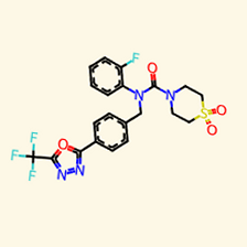 O=C(N1CCS(=O)(=O)CC1)N(Cc1ccc(-c2nnc(C(F)(F)F)o2)cc1)c1ccccc1F